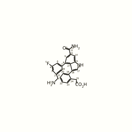 NCc1cc(F)cc(-c2cc(C(N)=O)cc3[nH]cc(-c4ccccc4CC(=O)O)c23)c1